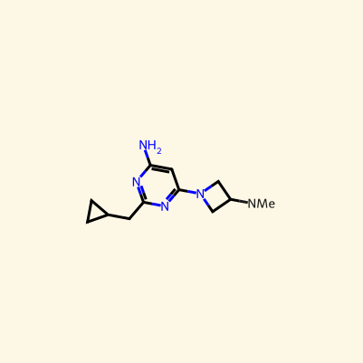 CNC1CN(c2cc(N)nc(CC3CC3)n2)C1